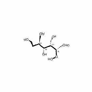 O=C[C@H](OO)[C@@H](O)[C@H](O)[C@H](O)CO